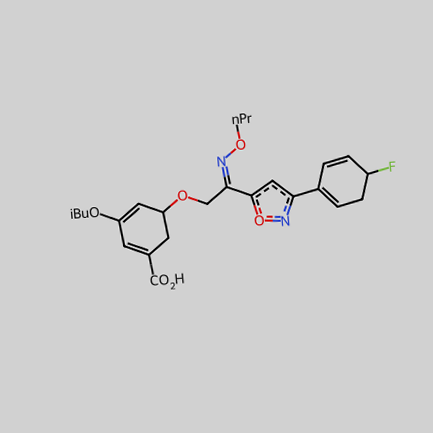 CCCON=C(COC1C=C(OCC(C)C)C=C(C(=O)O)C1)c1cc(C2=CCC(F)C=C2)no1